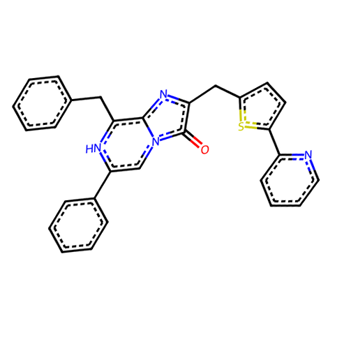 O=c1c(Cc2ccc(-c3ccccn3)s2)nc2c(Cc3ccccc3)[nH]c(-c3ccccc3)cn1-2